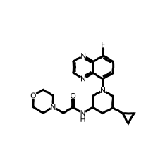 O=C(CN1CCOCC1)NC1CC(C2CC2)CN(c2ccc(F)c3nccnc23)C1